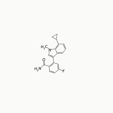 Cn1cc(-c2cc(F)ccc2C(N)=O)c2cccc(C3CC3)c21